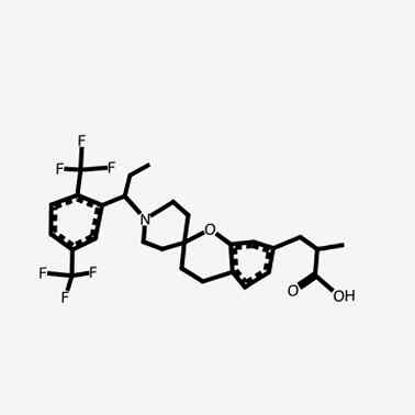 CCC(c1cc(C(F)(F)F)ccc1C(F)(F)F)N1CCC2(CCc3ccc(CC(C)C(=O)O)cc3O2)CC1